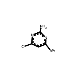 CCCc1cc(Cl)nc(N)n1